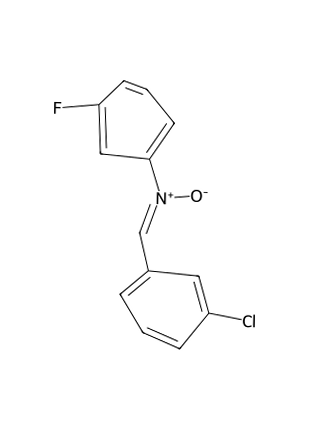 [O-][N+](=Cc1cccc(Cl)c1)c1cccc(F)c1